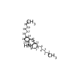 CCCCCCc1ccc2c(c1)Sc1cc(CCCCCC)ccc1N2